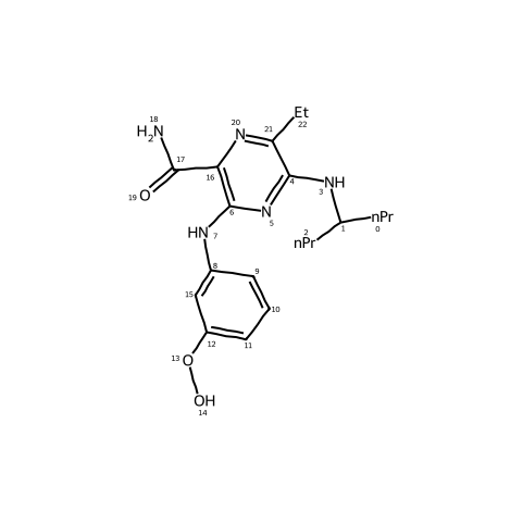 CCCC(CCC)Nc1nc(Nc2cccc(OO)c2)c(C(N)=O)nc1CC